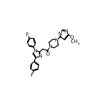 COc1cc(N2CCN(C(=O)Cc3nc(-c4ccc(F)cc4)cn3-c3ccc(F)cc3)CC2)ncn1